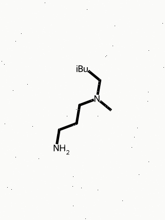 CCC(C)CN(C)CCCN